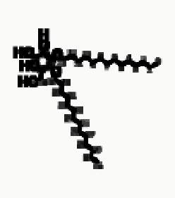 CCCCCCCCCCCCCCO[C@@H]([C@H](OCCCCCCCCCCCCCC)[C@H](O)CO)[C@H](O)CO